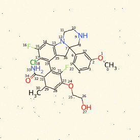 COc1cccc(C23CNCCN2c2cc(F)c(Cl)c(C4=C(F)C(OCCO)=CC(C)C4C(N)=O)c2C3)c1